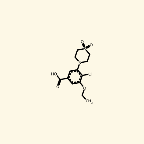 CCOc1cc(C(=O)O)cc(N2CCS(=O)(=O)CC2)c1Cl